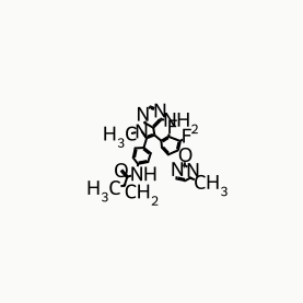 C=C(C)C(=O)Nc1ccc(-c2c(-c3ccc(Oc4nccc(C)n4)c(F)c3F)c3c(N)ncnc3n2C)cc1